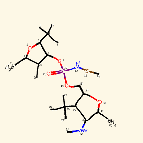 BC1OC(C(C)(C)C)C(OP(=O)(NSC)OCC2OC(B)C(NC)C2C(C)(C)C)C1C